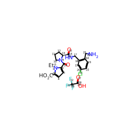 CCn1c(C(=O)O)ccc1C(=O)N1CCC[C@H]1C(=O)NCc1cc(Cl)ccc1CN.O=C(O)C(F)(F)F